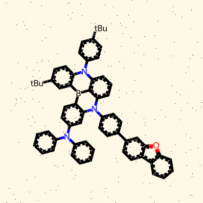 CC(C)(C)c1ccc(N2c3ccc(C(C)(C)C)cc3B3c4ccc(N(c5ccccc5)c5ccccc5)cc4N(c4ccc(-c5ccc6c(c5)oc5ccccc56)cc4)c4cccc2c43)cc1